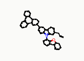 C=CCc1ccc2c3cc(-c4ccc5c6ccccc6c6ccccc6c5c4)ccc3n(-c3cccc4c3oc3ccccc34)c2c1